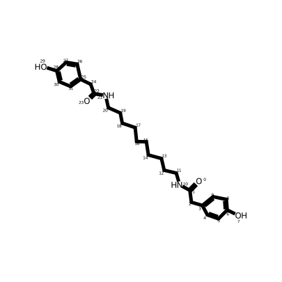 O=C(Cc1ccc(O)cc1)NCCCCCCCCCCNC(=O)Cc1ccc(O)cc1